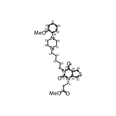 COC(=O)CCn1c(=O)n(CCCCCN2CCN(c3ccccc3OC)CC2)c(=O)c2cscc21